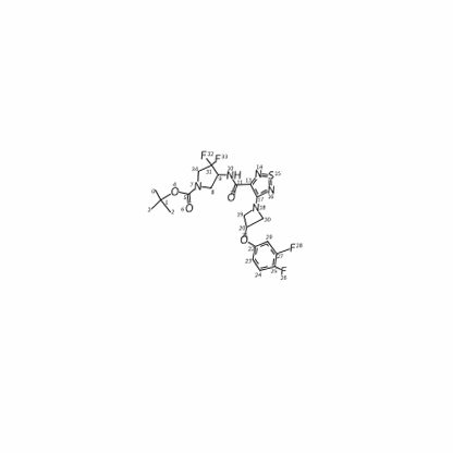 CC(C)(C)OC(=O)N1CC(NC(=O)c2nsnc2N2CC(Oc3ccc(F)c(F)c3)C2)C(F)(F)C1